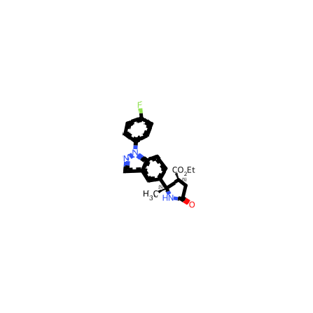 CCOC(=O)[C@H]1CC(=O)N[C@]1(C)c1ccc2c(cnn2-c2ccc(F)cc2)c1